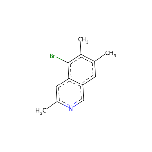 Cc1cc2c(Br)c(C)c(C)cc2cn1